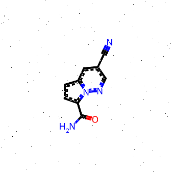 N#Cc1cnn2c(C(N)=O)ccc2c1